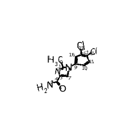 Cc1nc(C(N)=O)cn1-c1ccc(Cl)c(Cl)c1